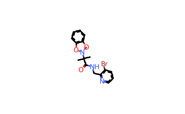 CC(C)(C(=O)NCc1ncccc1Br)N1Oc2ccccc2O1